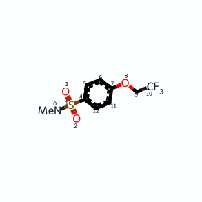 CNS(=O)(=O)c1ccc(OCC(F)(F)F)cc1